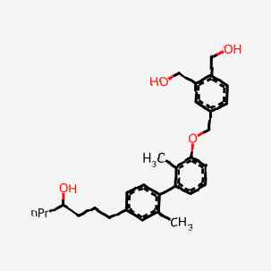 CCCC(O)CCCc1ccc(-c2cccc(OCc3ccc(CO)c(CO)c3)c2C)c(C)c1